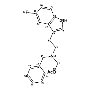 CC(=O)OCN(CCc1c[nH]c2ccc(F)cc12)Cc1ccccc1